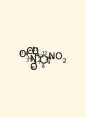 O=C(Cl)CN1C(=O)c2ccc([N+](=O)[O-])cc2C1=O